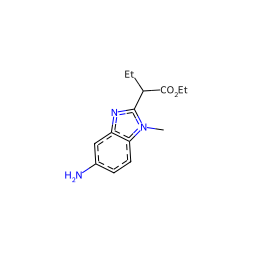 CCOC(=O)C(CC)c1nc2cc(N)ccc2n1C